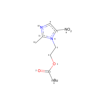 CCCCC(=O)OCCn1c([N+](=O)[O-])cnc1C